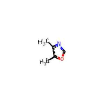 Bc1ocnc1C